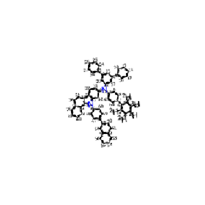 [2H]c1c([2H])c([2H])c(-c2ccc(N(c3cc(-c4ccccc4)cc(-c4ccccc4)c3)c3ccc4c5ccc6ccccc6c5n(-c5ccc(-c6ccc7ccccc7c6)cc5)c4c3)cc2)c([2H])c1[2H]